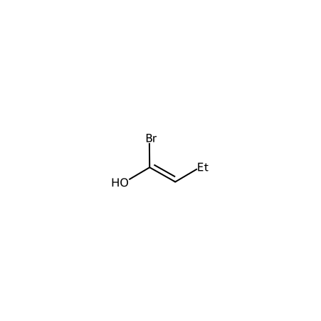 CCC=C(O)Br